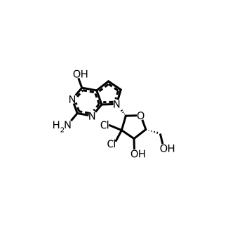 Nc1nc(O)c2ccn([C@@H]3O[C@H](CO)C(O)C3(Cl)Cl)c2n1